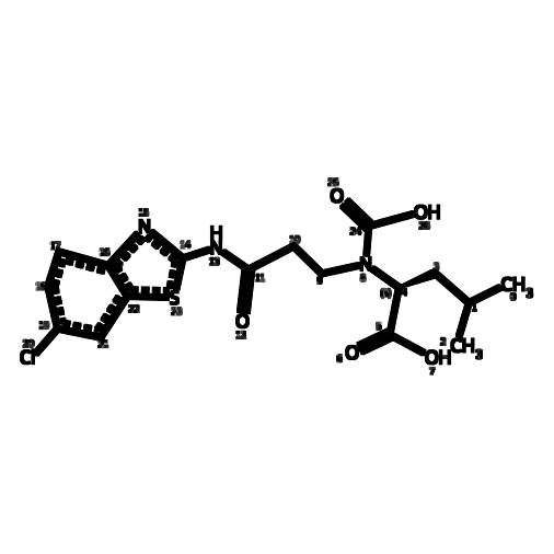 CC(C)C[C@@H](C(=O)O)N(CCC(=O)Nc1nc2ccc(Cl)cc2s1)C(=O)O